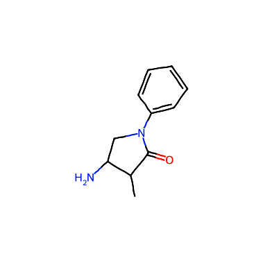 CC1C(=O)N(c2ccccc2)CC1N